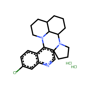 Cl.Cl.Clc1ccc2c(N3CCCC4CCCC(N5CCCC5)C43)ccnc2c1